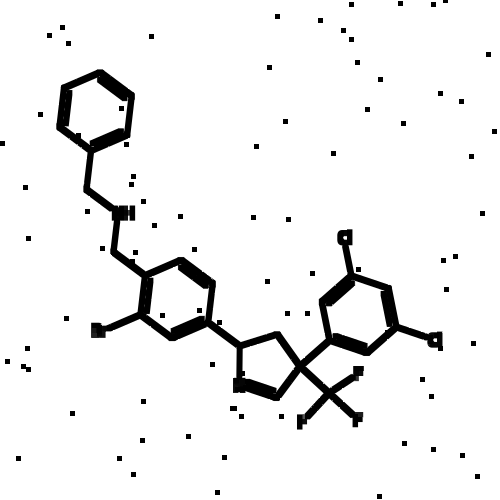 FC(F)(F)C1(c2cc(Cl)cc(Cl)c2)C=NC(c2ccc(CNCc3ccccc3)c(Br)c2)C1